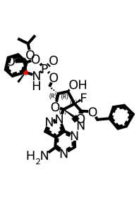 CC(C)OC(=O)[C@H](C)NP(=O)(OC[C@H]1O[C@@](C#N)(n2ncc3c(N)ncnc32)[C@@](F)(C(=O)OCc2ccccc2)[C@@H]1O)Oc1ccccc1